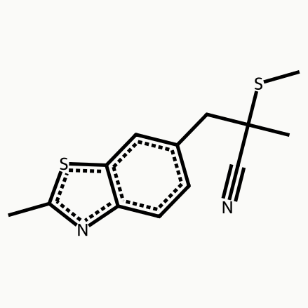 CSC(C)(C#N)Cc1ccc2nc(C)sc2c1